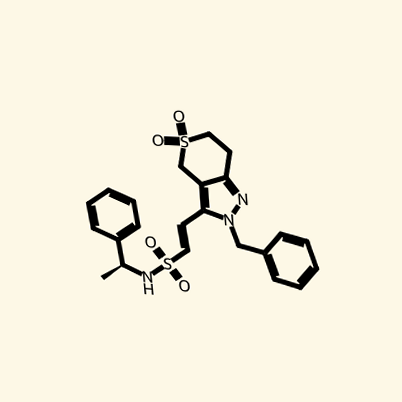 C[C@H](NS(=O)(=O)/C=C/c1c2c(nn1Cc1ccccc1)CCS(=O)(=O)C2)c1ccccc1